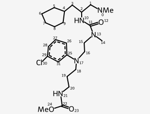 CNCC(CC1CCCCC1)NC(=O)N(C)CCN(CCCNC(=O)OC)c1cccc(Cl)c1